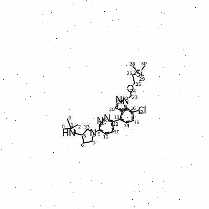 CC(C)(C)NC1CCN(c2ccc(-c3ccc(Cl)c4c3cnn4COCC[Si](C)(C)C)nn2)C1